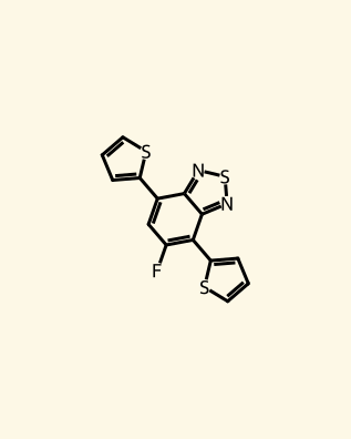 Fc1cc(-c2cccs2)c2nsnc2c1-c1cccs1